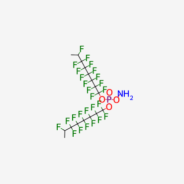 CC(F)C(F)(F)C(F)(F)C(F)(F)C(F)(F)C(F)(F)C(F)(F)OP(=O)(ON)OC(F)(F)C(F)(F)C(F)(F)C(F)(F)C(F)(F)C(F)(F)C(C)F